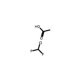 CC(=O)O.FC(F)Cl